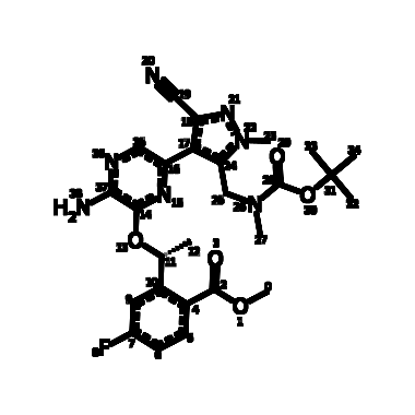 COC(=O)c1ccc(F)cc1[C@@H](C)Oc1nc(-c2c(C#N)nn(C)c2CN(C)C(=O)OC(C)(C)C)cnc1N